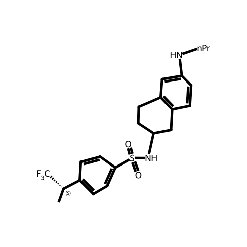 CCCNc1ccc2c(c1)CCC(NS(=O)(=O)c1ccc([C@H](C)C(F)(F)F)cc1)C2